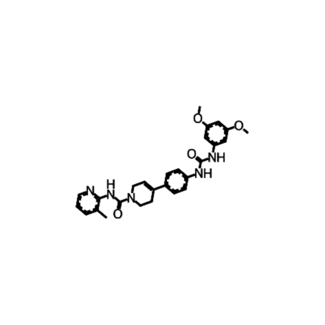 COc1cc(NC(=O)Nc2ccc(C3=CCN(C(=O)Nc4ncccc4C)CC3)cc2)cc(OC)c1